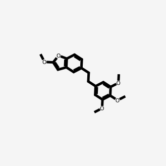 COc1cc2cc(CCc3cc(OC)c(OC)c(OC)c3)ccc2o1